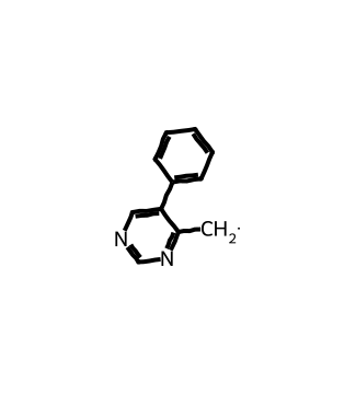 [CH2]c1ncncc1-c1ccccc1